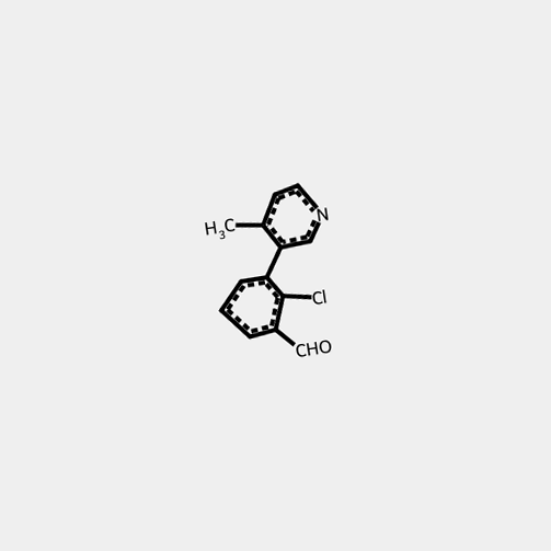 Cc1ccncc1-c1cccc(C=O)c1Cl